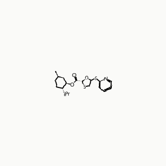 CC(C)[C@@H]1CC[C@@H](C)C[C@H]1OC(=O)[C@@H]1OC(Sc2ccccn2)CS1